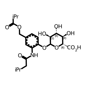 CC(C)CC(=O)Nc1cc(COC(=O)C(C)C)ccc1OC1O[C@@H](C(=O)O)[C@H](O)[C@@H](O)[C@@H]1O